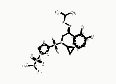 CC(C)O/N=C(\CN(C1CC1)S(=O)(=O)c1ncn(S(=O)(=O)N(C)C)n1)c1cccc(Cl)c1Cl